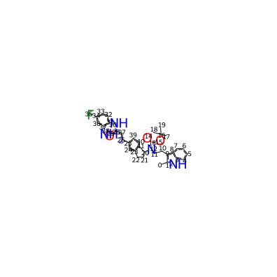 Cc1[nH]c2ccccc2c1CCN(C(=O)OC(C)(C)C)C1CCc2cc(/C=C/C(=O)Nc3ccc(F)cc3N)ccc21